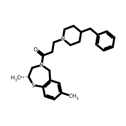 Cc1ccc2c(c1)CN(C(=O)CCN1CCC(Cc3ccccc3)CC1)C[C@@H](C)S2